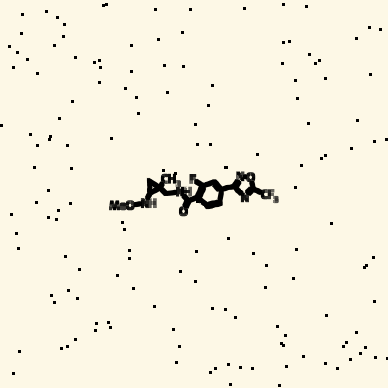 CONC1CC1(C)CNC(=O)c1ccc(-c2noc(C(F)(F)F)n2)cc1F